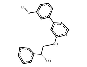 CCOc1cccc(-c2cc(NC[C@H](O)c3ccccc3)ncn2)c1